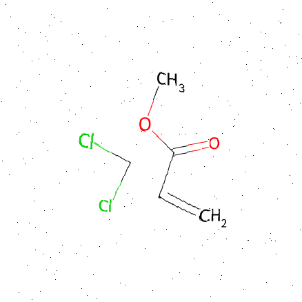 C=CC(=O)OC.ClCCl